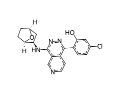 Oc1cc(Cl)ccc1-c1nnc(N[C@@H]2C[C@@H]3CC[C@H]2O3)c2cnccc12